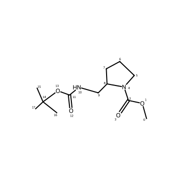 COC(=O)N1CCCC1CNC(=O)OC(C)(C)C